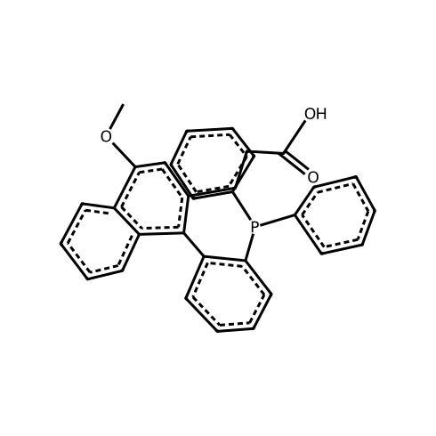 COc1cc(CCC(=O)O)c(-c2ccccc2P(c2ccccc2)c2ccccc2)c2ccccc12